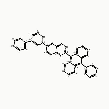 c1ccc(-c2c3ccccc3c(-c3ccc4cc(-c5cncc(-c6ccncc6)c5)ccc4c3)c3ccccc23)cc1